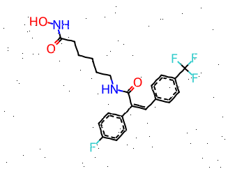 O=C(CCCCCNC(=O)C(=Cc1ccc(C(F)(F)F)cc1)c1ccc(F)cc1)NO